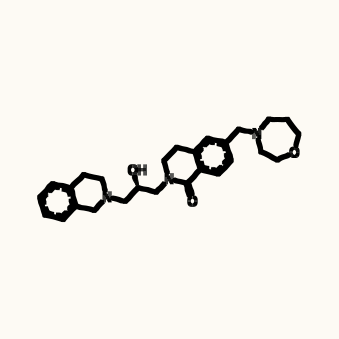 O=C1c2ccc(CN3CCCOCC3)cc2CCN1C[C@H](O)CN1CCc2ccccc2C1